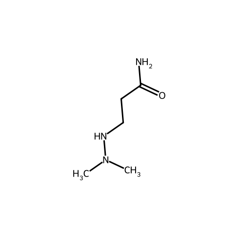 CN(C)NCCC(N)=O